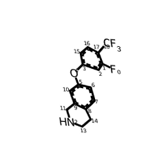 Fc1cc(Oc2ccc3c(c2)CNCC3)ccc1C(F)(F)F